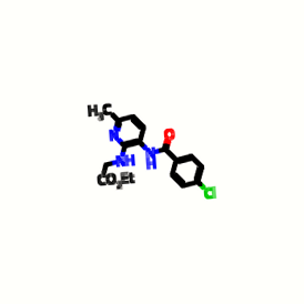 CCOC(=O)CNc1nc(C)ccc1NC(=O)c1ccc(Cl)cc1